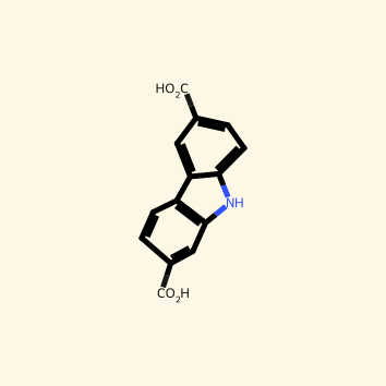 O=C(O)c1ccc2c(c1)[nH]c1ccc(C(=O)O)cc12